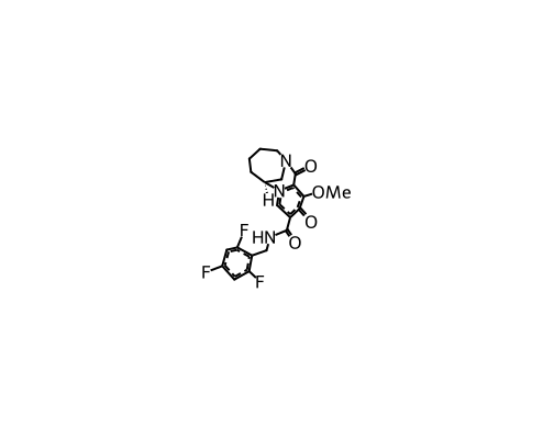 COc1c2n(cc(C(=O)NCc3c(F)cc(F)cc3F)c1=O)[C@H]1CCCCN(C1)C2=O